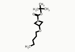 CCCCCOC1CN(C(=O)OC(C)(C)C)C1